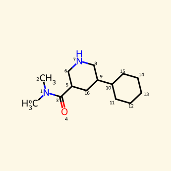 CN(C)C(=O)C1CNCC(C2CCCCC2)C1